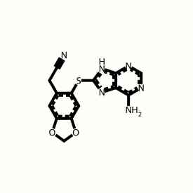 N#CCc1cc2c(cc1Sc1nc3c(N)ncnc3[nH]1)OCO2